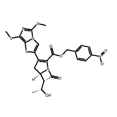 CSc1nc(SC)n2cc(C3=C(C(=O)OCc4ccc([N+](=O)[O-])cc4)N4C(=O)[C@H]([C@@H](C)O)[C@H]4C3)sc12